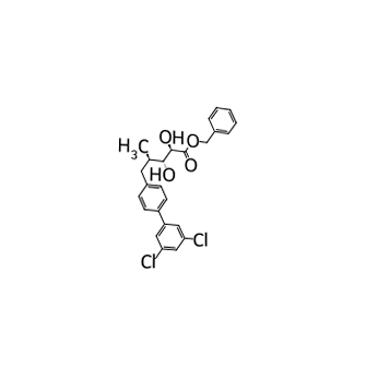 C[C@H](Cc1ccc(-c2cc(Cl)cc(Cl)c2)cc1)[C@@H](O)[C@@H](O)C(=O)OCc1ccccc1